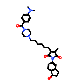 CC1=C(CCCCCCN2CCN(C(=O)c3ccc(N(C)C)cc3)CC2)C(=O)N(c2ccc3c(c2)CCC3=O)C1=O